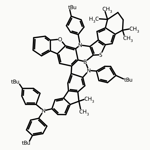 CC(C)(C)c1ccc(N2B3c4sc5cc6c(cc5c4N(c4ccc(C(C)(C)C)cc4)c4c3c(cc3c4oc4ccccc43)-c3cc4c(cc32)C(C)(C)c2ccc(N(c3ccc(C(C)(C)C)cc3)c3ccc(C(C)(C)C)cc3)cc2-4)C(C)(C)CCC6(C)C)cc1